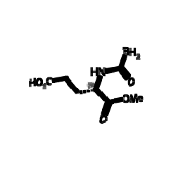 BC(=O)N[C@@H](CCC(=O)O)C(=O)OC